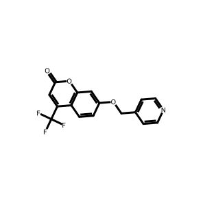 O=c1cc(C(F)(F)F)c2ccc(OCc3ccncc3)cc2o1